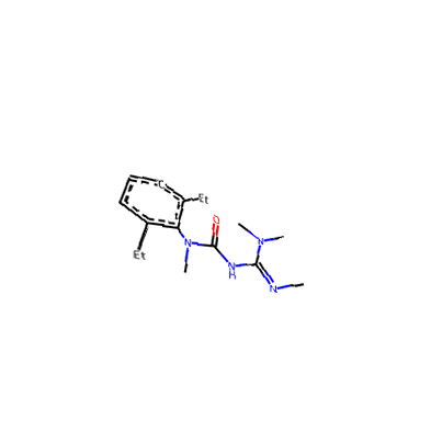 CCc1cccc(CC)c1N(C)C(=O)NC(=NC)N(C)C